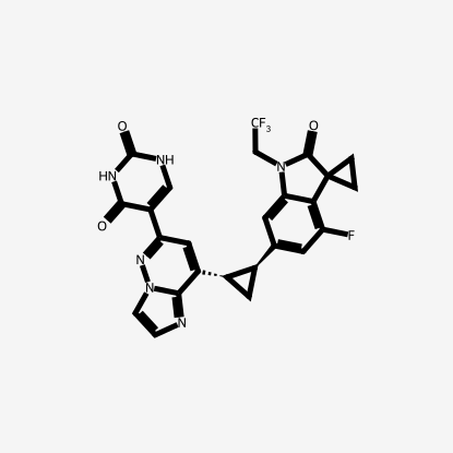 O=C1N(CC(F)(F)F)c2cc([C@H]3C[C@@H]3c3cc(-c4c[nH]c(=O)[nH]c4=O)nn4ccnc34)cc(F)c2C12CC2